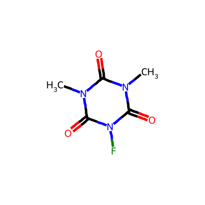 Cn1c(=O)n(C)c(=O)n(F)c1=O